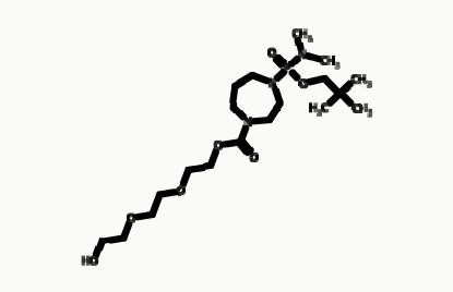 CN(C)P(=O)(OCC(C)(C)C)N1CCCN(C(=O)OCCOCCOCCO)CC1